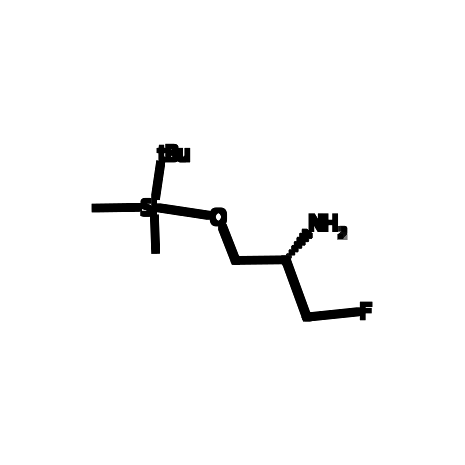 CC(C)(C)[Si](C)(C)OC[C@H](N)CF